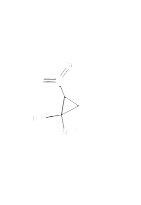 CC(=O)NC1(C)CC1[SH](=N)=O